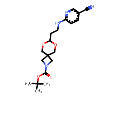 CC(C)(C)OC(=O)N1CC2(COC(CCNc3ccc(C#N)cn3)OC2)C1